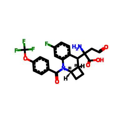 NC(CC=O)(C(=O)O)C1c2ccc(F)cc2N(C(=O)c2ccc(OC(F)(F)F)cc2)[C@@H]2CC[C@H]12